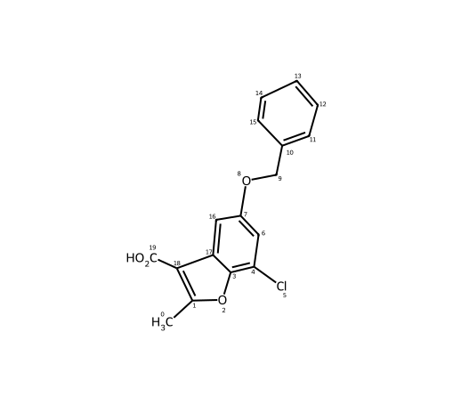 Cc1oc2c(Cl)cc(OCc3ccccc3)cc2c1C(=O)O